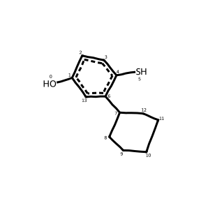 Oc1ccc(S)c(C2CCCCC2)c1